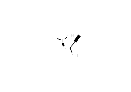 C#CCN.[O]=[Ti]([OH])[OH]